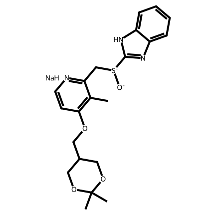 Cc1c(OCC2COC(C)(C)OC2)ccnc1C[S+]([O-])c1nc2ccccc2[nH]1.[NaH]